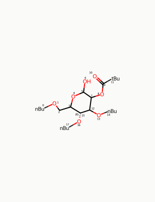 CCCCOCC1OC(O)C(OC(=O)C(C)(C)C)C(OCCCC)[C@@H]1OCCCC